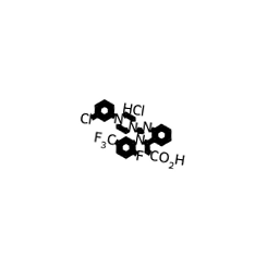 Cl.O=C(O)CC1c2ccccc2N=C(N2CCN(c3cccc(Cl)c3)CC2)N1c1cc(C(F)(F)F)ccc1F